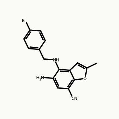 Cc1cc2c(NCc3ccc(Br)cc3)c(N)cc(C#N)c2o1